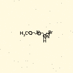 Cc1ccc(CCc2ccc(Cc3c[nH]c4ncc(Br)cc34)cn2)cc1